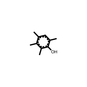 Cc1cc(C)c(O)c(C)c1C